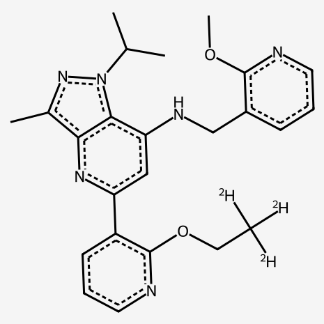 [2H]C([2H])([2H])COc1ncccc1-c1cc(NCc2cccnc2OC)c2c(n1)c(C)nn2C(C)C